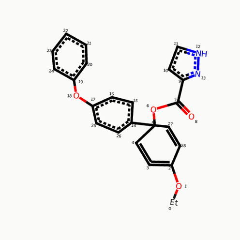 CCOC1=C=CC(OC(=O)c2cc[nH]n2)(c2ccc(Oc3ccccc3)cc2)C=C1